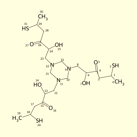 CC(S)CC(=O)C(O)CN1CN(CC(O)C(=O)CC(C)S)CN(CC(O)C(=O)CC(C)S)C1